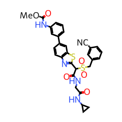 COC(=O)Nc1cccc(-c2ccc3nc(C(C(=O)NCC(=O)NC4CC4)S(=O)(=O)Cc4cccc(C#N)c4)sc3c2)c1